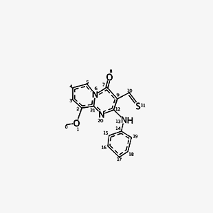 COc1cccn2c(=O)c(C=S)c(Nc3ccccc3)nc12